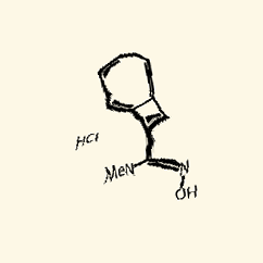 CNC(=NO)C1=Cc2ccccc21.Cl